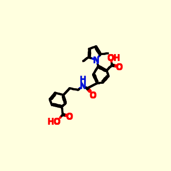 Cc1ccc(C)n1-c1cc(C(=O)NCCc2cccc(C(=O)O)c2)ccc1C(=O)O